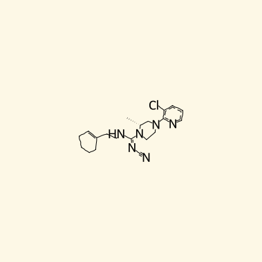 C[C@@H]1CN(c2ncccc2Cl)CCN1/C(=N\C#N)NCCC1=CCCCC1